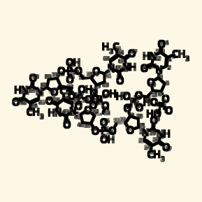 Cc1cn([C@H]2C[C@H](OP(=O)(O)O)[C@@H](COP(=O)(O)O[C@H]3C[C@H](n4cc(C)c(=O)[nH]c4=O)O[C@@H]3COP(=O)(O)O[C@H]3C[C@H](n4cc(C)c(=O)[nH]c4=O)O[C@@H]3COP(=O)(O)O[C@H]3C[C@H](n4cc(C)c(=O)[nH]c4=O)O[C@@H]3COP(=O)(O)O[C@H]3C[C@H](n4cc(C)c(=O)[nH]c4=O)O[C@@H]3COP(=O)(O)O)O2)c(=O)[nH]c1=O